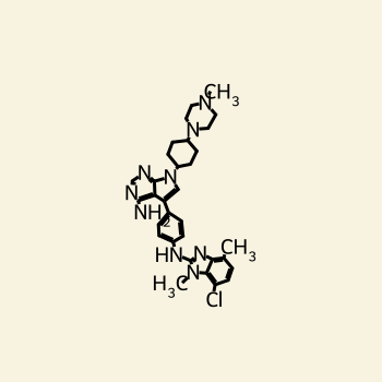 Cc1ccc(Cl)c2c1nc(Nc1ccc(-c3cn(C4CCC(N5CCN(C)CC5)CC4)c4ncnc(N)c34)cc1)n2C